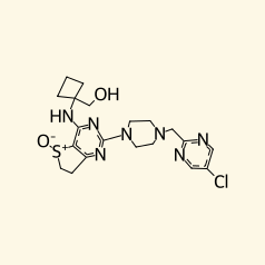 [O-][S+]1CCc2nc(N3CCN(Cc4ncc(Cl)cn4)CC3)nc(NC3(CO)CCC3)c21